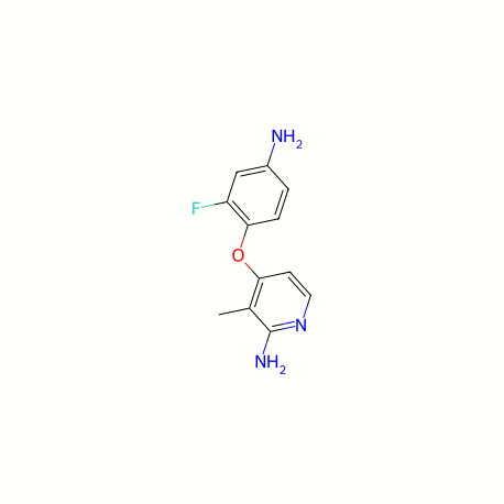 Cc1c(Oc2ccc(N)cc2F)ccnc1N